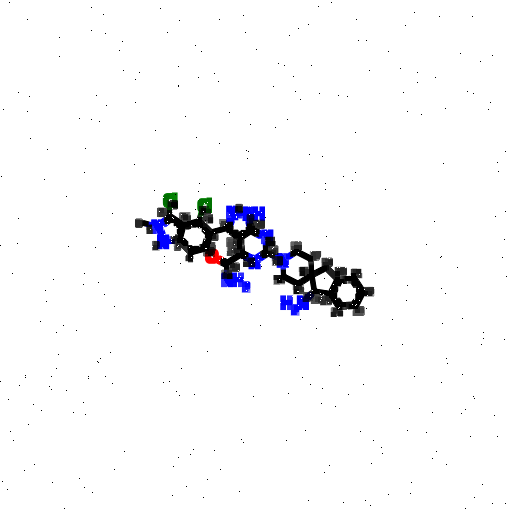 Cn1nc2ccc(-c3n[nH]c4nc(N5CCC6(CC5)Cc5ccccc5[C@H]6N)nc(C(N)=O)c34)c(Cl)c2c1Cl